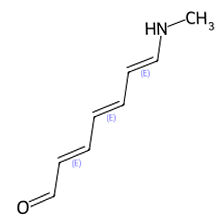 CN/C=C/C=C/C=C/C=O